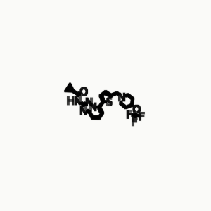 O=C(Nc1nc2cccc(-c3ccc(CN4CCC(OC(F)(F)F)CC4)s3)n2n1)C1CC1